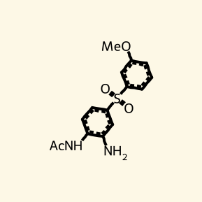 COc1cccc(S(=O)(=O)c2ccc(NC(C)=O)c(N)c2)c1